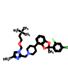 C[C@]1(c2ccc(Cl)cc2F)Oc2cccc(C3CCN(Cc4nc(C(=O)O)cn4COCC[Si](C)(C)C)CC3)c2O1